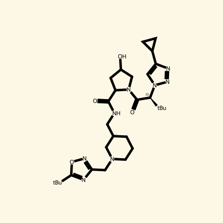 CC(C)(C)c1nc(CN2CCCC(CNC(=O)C3CC(O)CN3C(=O)[C@@H](n3cc(C4CC4)nn3)C(C)(C)C)C2)no1